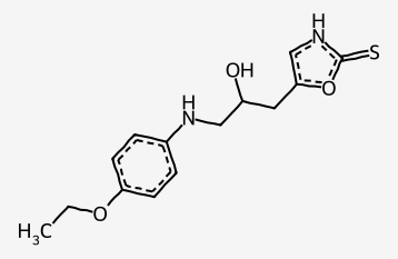 CCOc1ccc(NCC(O)Cc2c[nH]c(=S)o2)cc1